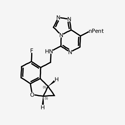 CCCCCc1cnc(NCc2c(F)ccc3c2[C@@H]2C[C@@H]2O3)n2cnnc12